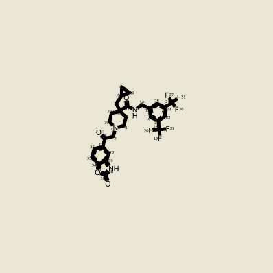 O=C(CN1CCC(CC2CC2)(C(=O)NCc2cc(C(F)(F)F)cc(C(F)(F)F)c2)CC1)c1ccc2oc(=O)[nH]c2c1